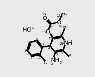 CC1=C(N)C(c2ccccc2C)C(OC(=O)OC(C)C)=C(C)N1.Cl